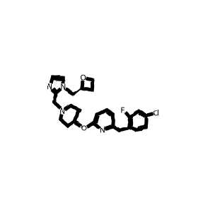 Fc1cc(Cl)ccc1Cc1cccc(OC2CCN(Cc3nccn3C[C@@H]3CCO3)CC2)n1